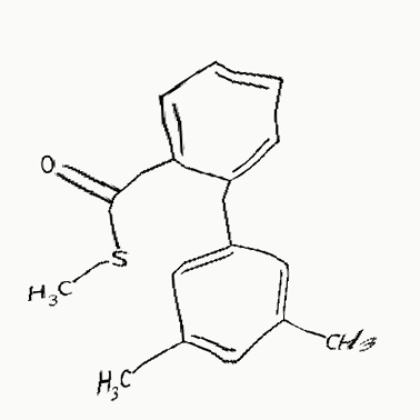 CSC(=O)c1ccccc1-c1cc(C)cc(C)c1